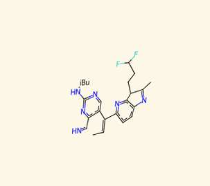 C/C=C(/c1ccc2c(n1)C(CCC(F)F)C(C)=N2)c1cnc(N[C@@H](C)CC)nc1C=N